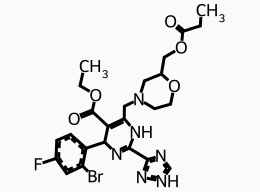 CCOC(=O)C1=C(CN2CCOC(COC(=O)CC)C2)NC(c2nc[nH]n2)=NC1c1ccc(F)cc1Br